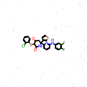 O=C1CC(c2ccsc2)(c2cccc(Nc3ccc(F)c(F)c3)n2)NC(=O)C1Sc1ccccc1Cl